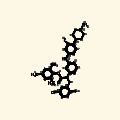 Cc1cc(C)c(OC(=O)N(Cc2cc(Cl)ccc2F)c2ccnc(Nc3ccc(N4CCN(C)CC4)c(F)c3)n2)c(C)c1